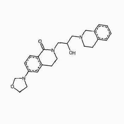 O=C1c2ccc(N3CCOC3)cc2CCN1CC(O)CN1CCc2ccccc2C1